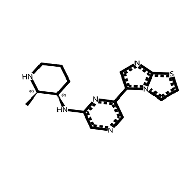 C[C@H]1NCCC[C@H]1Nc1cncc(-c2cnc3sccn23)n1